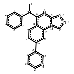 CN(c1ccccc1)c1nc2nncn2c2cc(-c3cccnc3)ccc12